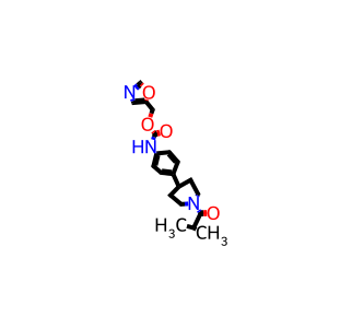 CC(C)C(=O)N1CCC(c2ccc(NC(=O)OCc3cnco3)cc2)CC1